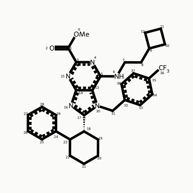 COC(=O)c1nc(NCCC2CCC2)c2c(n1)nc([C@@H]1CCCCC1c1ccccc1)n2Cc1ccc(C(F)(F)F)cc1